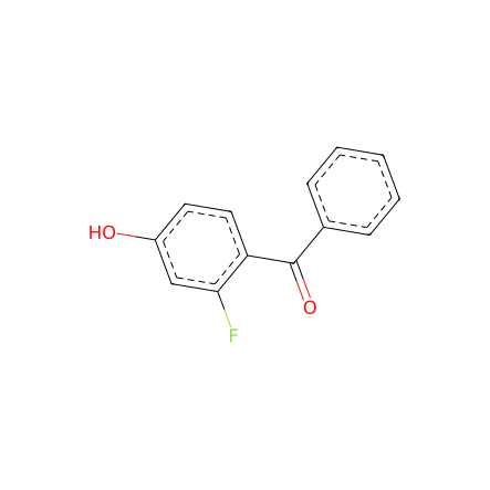 O=C(c1ccccc1)c1ccc(O)cc1F